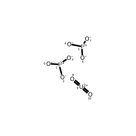 [O-][I+2]([O-])[O-].[O-][I+2]([O-])[O-].[O]=[U+2]=[O]